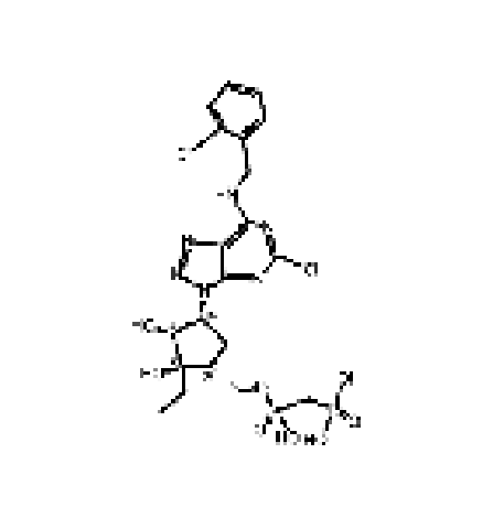 CC[C@@]1(O)[C@@H](COP(=O)(O)CP(=O)(O)O)C[C@@H](n2nnc3c(NCc4ccccc4Cl)nc(Cl)nc32)[C@@H]1O